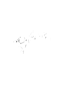 CC(=O)OC[C@@H]1CSC(c2cc3cc(Cl)cc([N+](=O)[O-])c3[nH]2)=N1